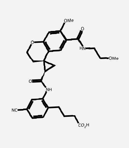 COCCNC(=O)c1cc2c(cc1OC)OCC[C@]21C[C@H]1C(=O)Nc1cc(C#N)ccc1CCCC(=O)O